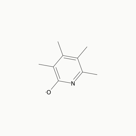 Cc1nc([O])c(C)c(C)c1C